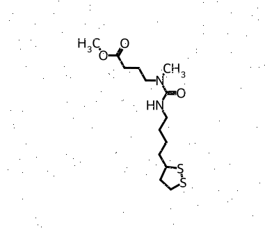 COC(=O)CCCN(C)C(=O)NCCCCC1CCSS1